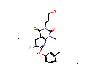 CCCC1Cc2c(n(C)c(=O)n(CCCO)c2=O)N=C1Oc1cccc(C)c1